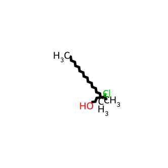 CCCCCCCCCCCCCCCCC(C)(CCCO)[C](C)Cl